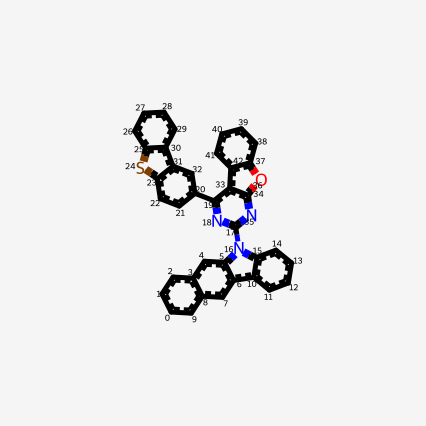 c1ccc2cc3c(cc2c1)c1ccccc1n3-c1nc(-c2ccc3sc4ccccc4c3c2)c2c(n1)oc1ccccc12